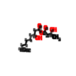 CCCCCCCCCCCCCCCC(O)CC(=O)OC(=O)CC(C)O